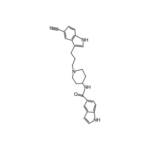 N#Cc1ccc2[nH]cc(CCCN3CCC(NC(=O)c4ccc5[nH]ccc5c4)CC3)c2c1